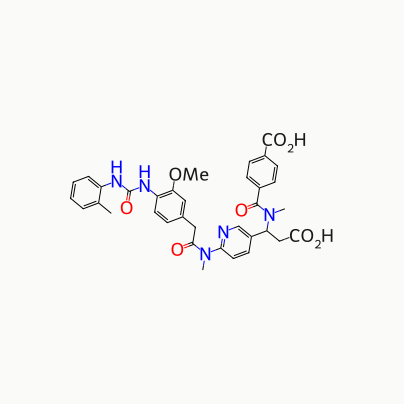 COc1cc(CC(=O)N(C)c2ccc(C(CC(=O)O)N(C)C(=O)c3ccc(C(=O)O)cc3)cn2)ccc1NC(=O)Nc1ccccc1C